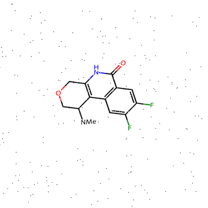 CNC1COCc2[nH]c(=O)c3cc(F)c(F)cc3c21